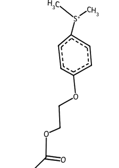 COC(=O)OCCOc1ccc([S+](C)C)cc1